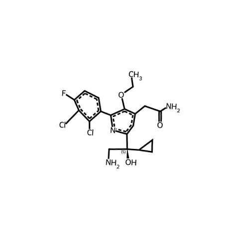 CCOc1c(CC(N)=O)cc([C@@](O)(CN)C2CC2)nc1-c1ccc(F)c(Cl)c1Cl